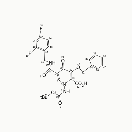 CC(C)(C)OC(=O)Nn1cc(C(=O)NCc2ccc(F)cc2F)c(=O)c(OCc2ccccc2)c1C(=O)O